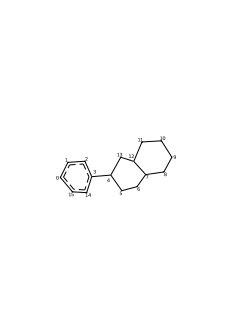 c1ccc(C2CCC3CCCCC3C2)cc1